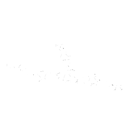 C=CC(=O)OCCCOc1ccc(CCC(=O)Oc2ccc(OC(=O)CCc3ccc(OCCCOC(=O)C=C)c(F)c3)c(C(=O)OCc3ccc(OC(F)(F)F)cc3)c2)cc1F